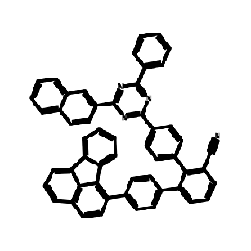 N#Cc1cccc(-c2ccc(-c3ccc4cccc5c4c3-c3ccccc3-5)cc2)c1-c1ccc(-c2nc(-c3ccccc3)nc(-c3ccc4ccccc4c3)n2)cc1